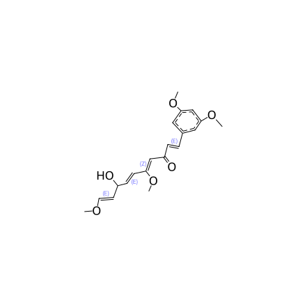 CO/C=C/C(O)/C=C/C(=C/C(=O)/C=C/c1cc(OC)cc(OC)c1)OC